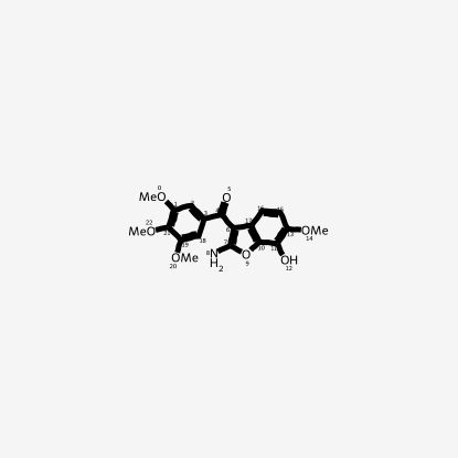 COc1cc(C(=O)c2c(N)oc3c(O)c(OC)ccc23)cc(OC)c1OC